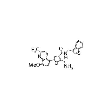 COc1ccc(-c2cc(C(=O)NCc3csc4ccccc34)c(CN)o2)c2ccc(C(F)(F)F)nc12